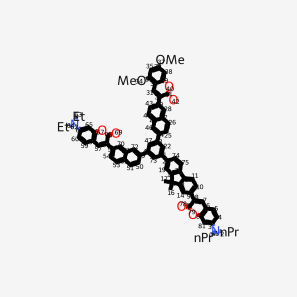 CCCN(CCC)c1ccc2cc(-c3ccc4c(c3)C(C)(C)c3cc(-c5cc(-c6ccc7cc(-c8cc9c(OC)cc(OC)cc9oc8=O)ccc7c6)cc(-c6ccc7ccc(-c8cc9ccc(N(CC)CC)cc9oc8=O)cc7c6)c5)ccc3-4)c(=O)oc2c1